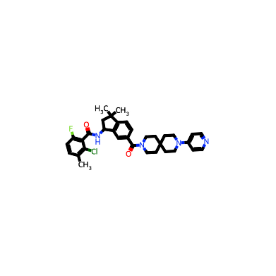 Cc1ccc(F)c(C(=O)NC2CC(C)(C)c3ccc(C(=O)N4CCC5(CC4)CCN(c4ccncc4)CC5)cc32)c1Cl